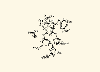 CCCCCCCCCCC[C@H](CC(=O)N[C@@H](CCC(=O)O)CO[C@@H]1O[C@H](CO)[C@@H](OP(=O)(O)O)[C@H](OC(=O)C[C@@H](CCCCCCCCCCC)OC(=O)CCCCCCCCC)[C@@H]1NC(=O)C[C@@H](CCCCCCCCCCC)OC(=O)CCCCCCCCC)OC(=O)CCCCCCCCC.CCN(CC)CC